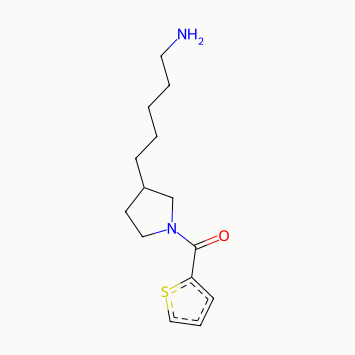 NCCCCCC1CCN(C(=O)c2cccs2)C1